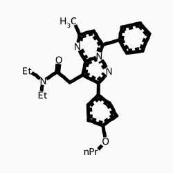 CCCOc1ccc(-c2nn3c(-c4ccccc4)cc(C)nc3c2CC(=O)N(CC)CC)cc1